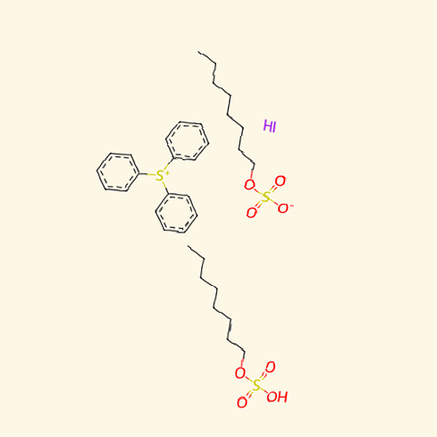 CCCCCCCCOS(=O)(=O)O.CCCCCCCCOS(=O)(=O)[O-].I.c1ccc([S+](c2ccccc2)c2ccccc2)cc1